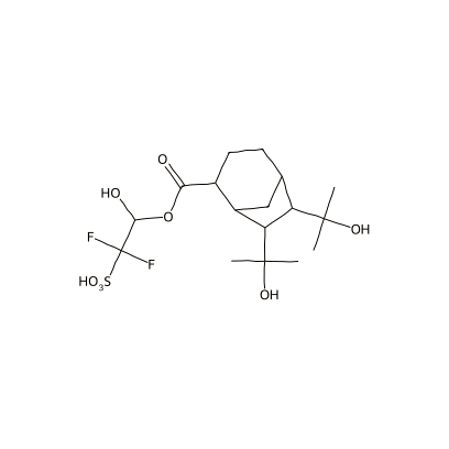 CC(C)(O)C1C2CCC(C(=O)OC(O)C(F)(F)S(=O)(=O)O)C(C2)C1C(C)(C)O